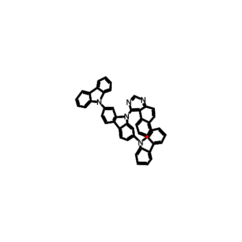 c1ccc2c(c1)ccc1ncnc(-n3c4cc(-n5c6ccccc6c6ccccc65)ccc4c4ccc(-n5c6ccccc6c6ccccc65)cc43)c12